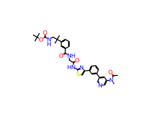 CC(=O)N(C)c1cncc(-c2cccc(-c3csc(NC(=O)CNC(=O)c4cccc(C(C)(C)CNC(=O)OC(C)(C)C)c4)n3)c2)c1